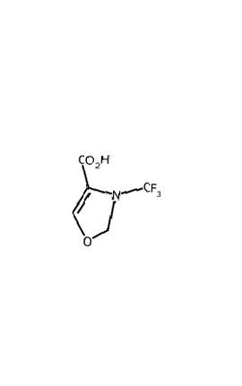 O=C(O)C1=COCN1C(F)(F)F